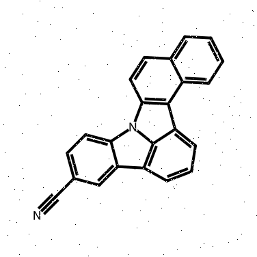 N#Cc1ccc2c(c1)c1cccc3c4c5ccccc5ccc4n2c13